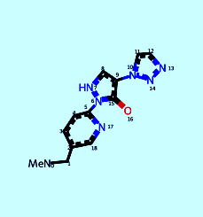 CNCc1ccc(-n2[nH]cc(-n3ccnn3)c2=O)nc1